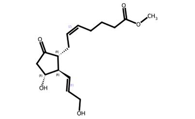 COC(=O)CCC/C=C\C[C@H]1C(=O)C[C@@H](O)[C@@H]1/C=C/CO